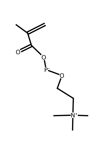 C=C(C)C(=O)O[P-]OCC[N+](C)(C)C